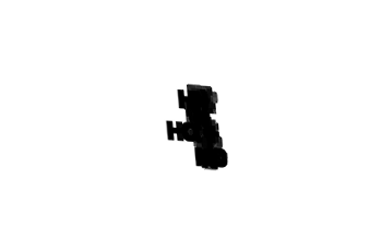 CN(c1ccc(-c2c(O)cc(-c3cnn(C)c(=O)c3)c(F)c2F)nn1)[C@@H]1C[C@]2(C)CC[C@](C)(C1)N2